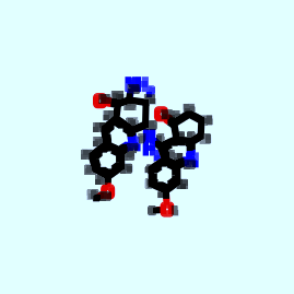 COc1ccc2c(N)c3c(nc2c1)CCCC3=O.COc1ccc2cc3c(nc2c1)CCC(N)C3=O